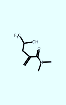 C=C(CC(O)C(F)(F)F)C(=O)N(C)C